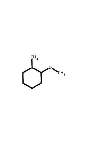 COC1CCCCB1C